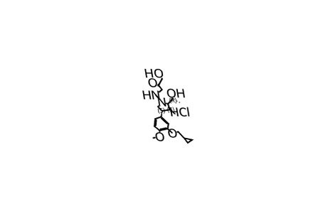 COc1ccc([C@H]2CN(NCC(=O)CO)C([C@@H](C)O)[C@H]2C)cc1OCC1CC1.Cl